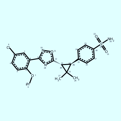 CC(C)Oc1ccc(Cl)cc1-c1noc([C@@H]2[C@@H](c3ccc(S(N)(=O)=O)cc3)C2(C)C)n1